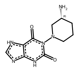 N[C@@H]1CCCN(n2c(=O)[nH]c3nc[nH]c3c2=O)C1